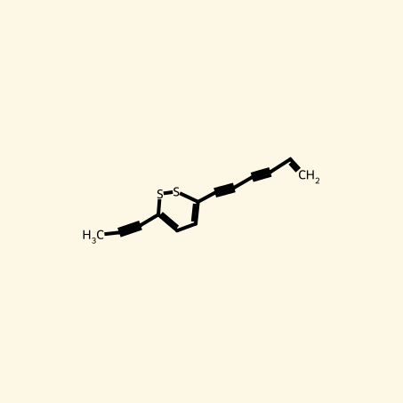 C=CC#CC#CC1=CC=C(C#CC)SS1